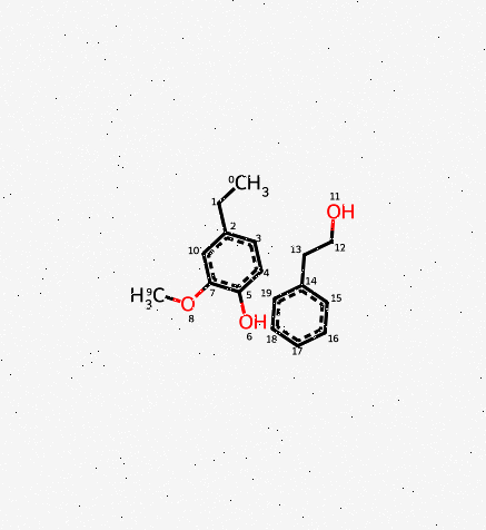 CCc1ccc(O)c(OC)c1.OCCc1ccccc1